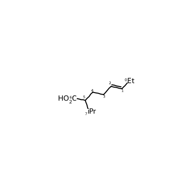 CCC=CCCC(C(=O)O)C(C)C